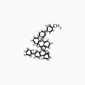 Cc1ccc(-c2ccc3c4ccccc4n(-c4cccc5c4C(=O)N(c4cc(-c6ccccc6)ccc4-c4ccccc4)C5=O)c3c2)cc1